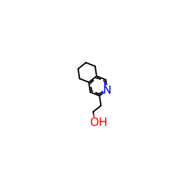 OCCc1cc2c(cn1)CCCC2